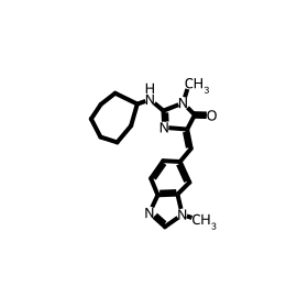 CN1C(=O)/C(=C/c2ccc3ncn(C)c3c2)N=C1NC1CCCCCC1